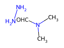 CN(C)C=O.NN